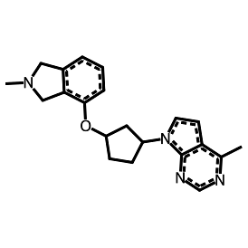 Cc1ncnc2c1ccn2C1CCC(Oc2cccc3c2CN(C)C3)C1